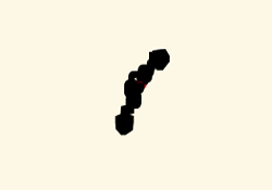 O=C(COCCN1CCCC1)CC(=O)OCCCc1ccccc1